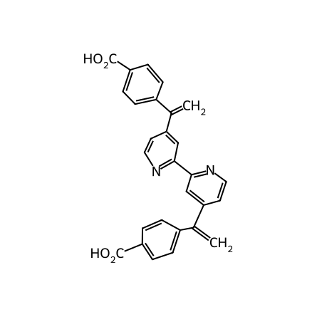 C=C(c1ccc(C(=O)O)cc1)c1ccnc(-c2cc(C(=C)c3ccc(C(=O)O)cc3)ccn2)c1